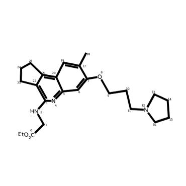 CCOC(=O)CNc1nc2cc(OCCCN3CCCC3)c(C)cc2c2c1CCC2